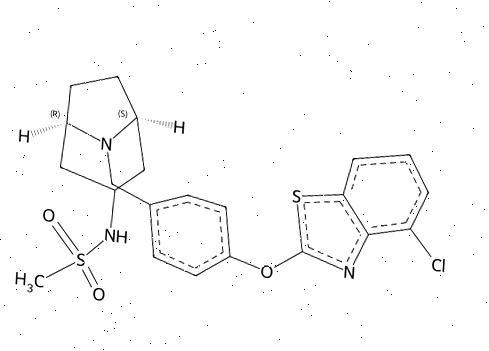 CS(=O)(=O)NC1C[C@H]2CC[C@@H](C1)N2Cc1ccc(Oc2nc3c(Cl)cccc3s2)cc1